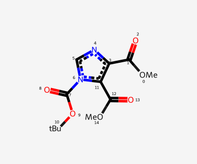 COC(=O)c1ncn(C(=O)OC(C)(C)C)c1C(=O)OC